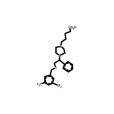 CCOC(=O)CCCCN1CCN(C(COCc2cc(C(F)(F)F)cc(C(F)(F)F)c2)c2ccccc2)CC1